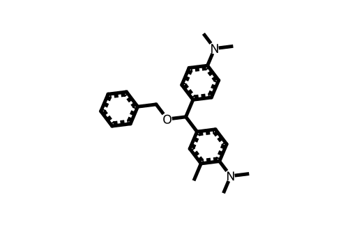 Cc1cc(C(OCc2ccccc2)c2ccc(N(C)C)cc2)ccc1N(C)C